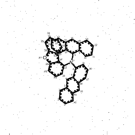 c1ccc2cc3c(N(c4c5ccccc5cc5ccccc45)c4cccc5oc6ccccc6c45)cccc3cc2c1